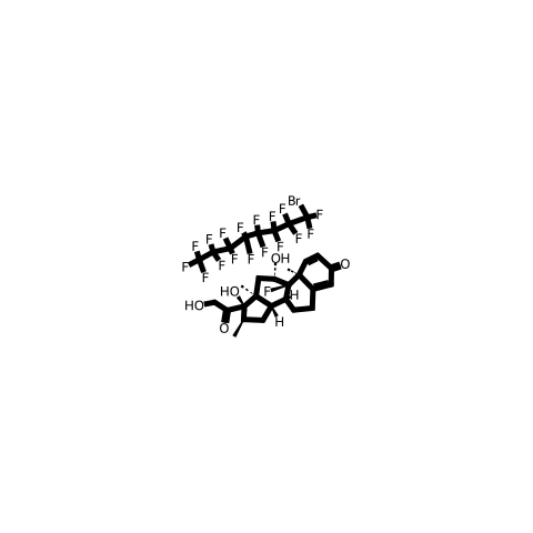 C[C@@H]1C[C@H]2[C@@H]3CCC4=CC(=O)C=C[C@]4(C)[C@@]3(F)[C@@H](O)C[C@]2(C)[C@@]1(O)C(=O)CO.FC(F)(F)C(F)(F)C(F)(F)C(F)(F)C(F)(F)C(F)(F)C(F)(F)C(F)(F)Br